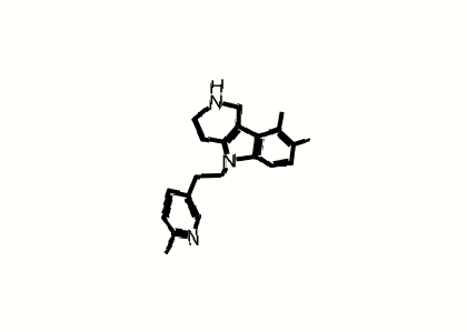 Cc1ccc(CCn2c3c(c4c(C)c(C)ccc42)CNCC3)cn1